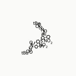 CC(C)c1ccccc1-c1c(/C=C/C(=O)N2CCN(C(=O)OC(C)(C)C)CC2)ccc(Sc2ccc(/C=C/C(=O)N3CCN(C(=O)OC(C)(C)C)CC3)c(-c3ccccc3C(C)C)c2[N+](=O)[O-])c1[N+](=O)[O-]